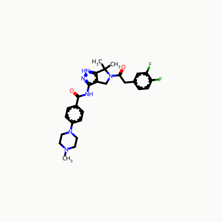 CN1CCN(c2ccc(C(=O)Nc3n[nH]c4c3CN(C(=O)Cc3ccc(F)c(F)c3)C4(C)C)cc2)CC1